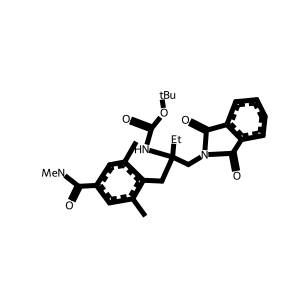 CCC(Cc1c(C)cc(C(=O)NC)cc1C)(CN1C(=O)c2ccccc2C1=O)NC(=O)OC(C)(C)C